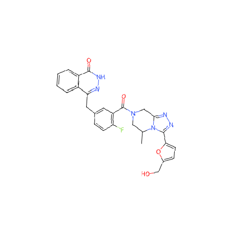 CC1CN(C(=O)c2cc(Cc3n[nH]c(=O)c4ccccc34)ccc2F)Cc2nnc(-c3ccc(CO)o3)n21